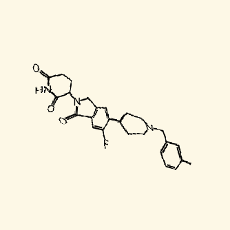 Cc1cccc(CN2CCC(c3cc4c(cc3F)C(=O)N(C3CCC(=O)NC3=O)C4)CC2)c1